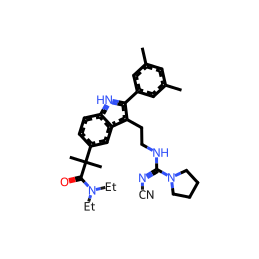 CCN(CC)C(=O)C(C)(C)c1ccc2[nH]c(-c3cc(C)cc(C)c3)c(CCN/C(=N/C#N)N3CCCC3)c2c1